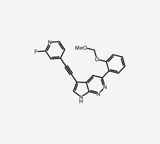 COCOc1ccccc1-c1cc2c(C#Cc3ccnc(F)c3)c[nH]c2nn1